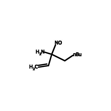 C=CC(N)(CCCCC)N=O